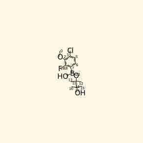 COc1c(Cl)ccc(B(O)OC(C)(C)C(C)(C)O)c1F